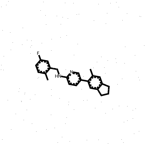 Cc1ccc(F)cc1CNc1ccc(-c2cc3c(cc2C)CCC3)cn1